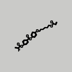 C=CC(=O)OCCCCCCOc1ccc(OC(=O)c2ccc(OC(=O)C(=C)F)cc2)cc1